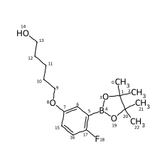 CC1(C)OB(c2cc(OCCCCCO)ccc2F)OC1(C)C